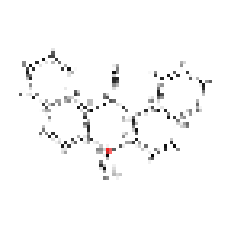 C=Cc1ccc2ccccc2c1C(=O)c1c(C=C)ccc2ccccc12